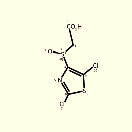 O=C(O)C[S@+]([O-])c1nc(Cl)sc1Cl